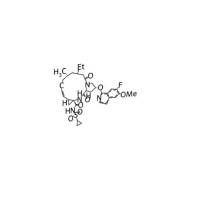 CC[C@H]1CC(=O)N2C[C@H](Oc3nccc4cc(OC)c(F)cc34)C[C@H]2C(=O)N[C@]2(C(=O)NS(=O)(=O)C3CC3)C[C@H]2/C=C\CC[C@H](C)C1